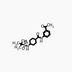 CC(=O)c1cccc(NC(=O)C2CCC(NS(=O)(=O)C(C)(C)C)CC2)c1